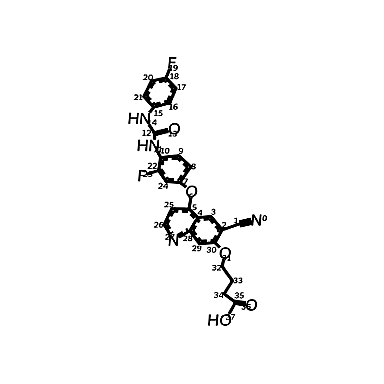 N#Cc1cc2c(Oc3ccc(NC(=O)Nc4ccc(F)cc4)c(F)c3)ccnc2cc1OCCCC(=O)O